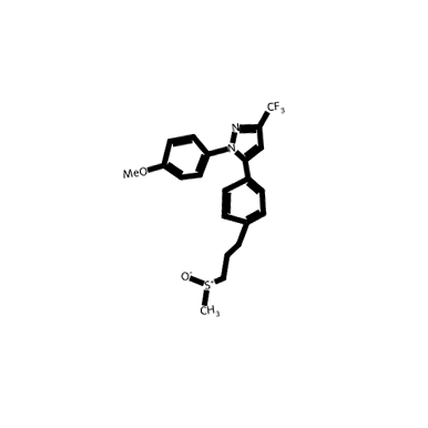 COc1ccc(-n2nc(C(F)(F)F)cc2-c2ccc(CCC[S+](C)[O-])cc2)cc1